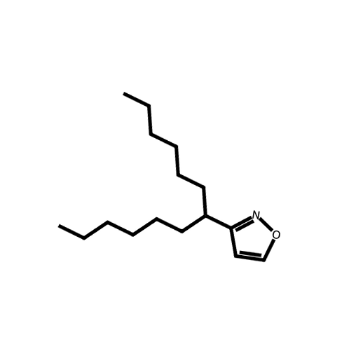 CCCCCCC(CCCCCC)c1ccon1